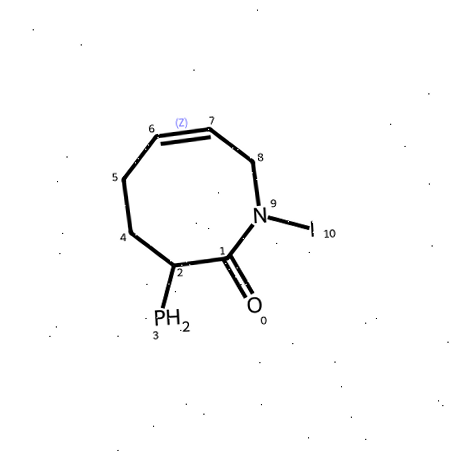 O=C1C(P)CC/C=C\CN1I